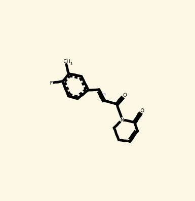 Cc1cc(/C=C/C(=O)N2CCC=CC2=O)ccc1F